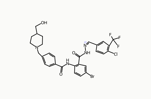 O=C(Nc1ccc(Br)cc1C(=O)N/N=C\c1ccc(Cl)c(C(F)(F)F)c1)c1ccc(CN2CCC(CO)CC2)cc1